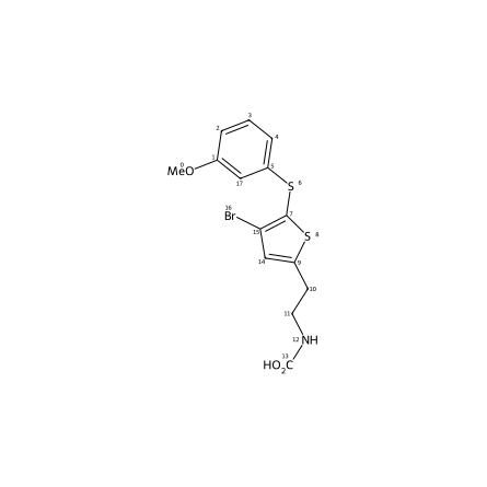 COc1cccc(Sc2sc(CCNC(=O)O)cc2Br)c1